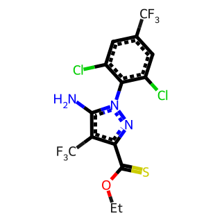 CCOC(=S)c1nn(-c2c(Cl)cc(C(F)(F)F)cc2Cl)c(N)c1C(F)(F)F